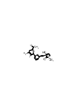 Cc1cc(C(N)O)nc(-c2cccc(C#C[C@]3(O)CCN(C)C3=O)c2)c1F